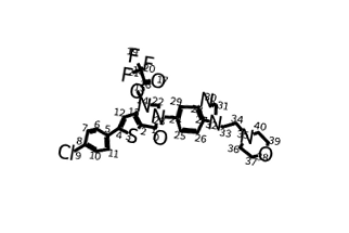 O=C1c2sc(-c3ccc(Cl)cc3)cc2N(OC(=O)C(F)(F)F)CN1c1ccc2c(c1)ncn2CCN1CCOCC1